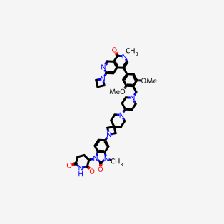 COc1cc(-c2cn(C)c(=O)c3cnc(N4CCC4)cc23)cc(OC)c1CN1CCC(N2CCC3(CC2)CN(c2ccc4c(c2)n(C)c(=O)n4C2CCC(=O)NC2=O)C3)CC1